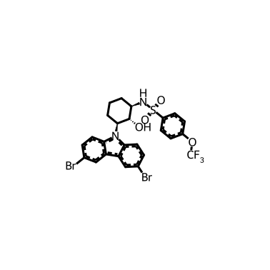 O=S(=O)(N[C@@H]1CCC[C@H](n2c3ccc(Br)cc3c3cc(Br)ccc32)[C@H]1O)c1ccc(OC(F)(F)F)cc1